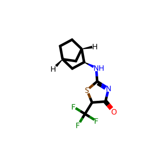 O=C1N=C(N[C@H]2C[C@@H]3CC[C@H]2C3)SC1C(F)(F)F